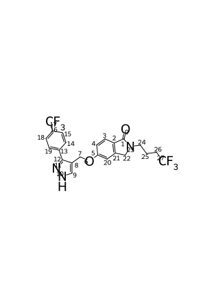 O=C1c2ccc(OCc3c[nH]nc3-c3ccc(C(F)(F)F)cc3)cc2CN1CCCC(F)(F)F